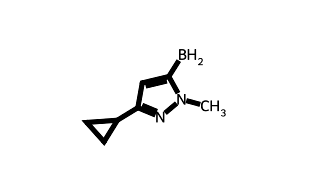 Bc1cc(C2CC2)nn1C